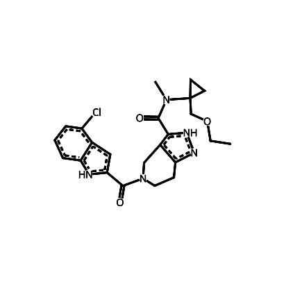 CCOCC1(N(C)C(=O)c2[nH]nc3c2CN(C(=O)c2cc4c(Cl)cccc4[nH]2)CC3)CC1